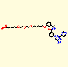 C[C@H](NC(=O)c1cccc(NCC(=N)N(C)C(=N)c2ccncn2)c1)c1cccc(OCCCCCCOCCOCCOCCCCCC(=O)O)c1